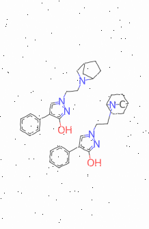 Oc1nn(CCN2CC3CCC2C3)cc1-c1ccccc1.Oc1nn(CCN2CC3CCC2CC3)cc1-c1ccccc1